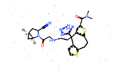 CN(C)C(=O)c1cc2c(s1)CCc1sccc1C2(CCNCC(=O)N1C(C#N)C[C@@H]2C[C@@H]21)c1nn[nH]n1